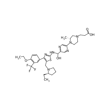 CCOc1ccc(-c2nc(NC(O)c3cnc(N4CCN(CCC(=O)O)C[C@H]4C)cn3)sc2CN2CCC[C@H]2CC)cc1C(F)(F)F